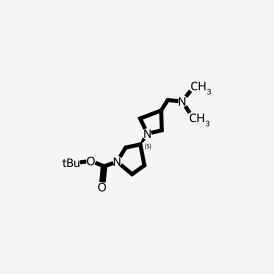 CN(C)CC1CN([C@H]2CCN(C(=O)OC(C)(C)C)C2)C1